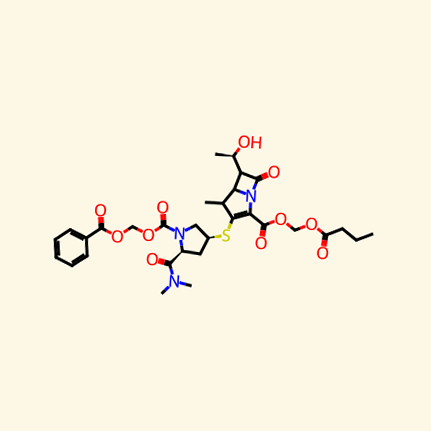 CCCC(=O)OCOC(=O)C1=C(S[C@H]2C[C@@H](C(=O)N(C)C)N(C(=O)OCOC(=O)c3ccccc3)C2)C(C)C2C([C@@H](C)O)C(=O)N12